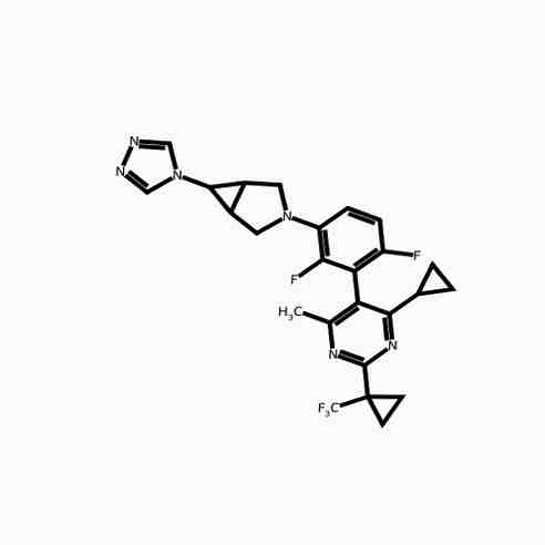 Cc1nc(C2(C(F)(F)F)CC2)nc(C2CC2)c1-c1c(F)ccc(N2CC3C(C2)C3n2cnnc2)c1F